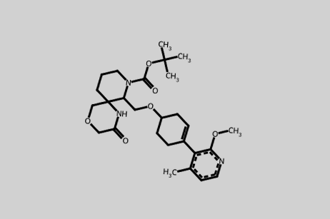 COc1nccc(C)c1C1=CCC(OCC2N(C(=O)OC(C)(C)C)CCCC23COCC(=O)N3)CC1